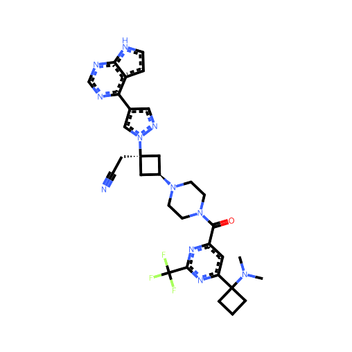 CN(C)C1(c2cc(C(=O)N3CCN([C@H]4C[C@@](CC#N)(n5cc(-c6ncnc7[nH]ccc67)cn5)C4)CC3)nc(C(F)(F)F)n2)CCC1